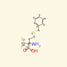 N[C@](CCSCc1ccccc1)(C(=O)O)C(F)F